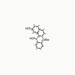 COc1ccccc1C(O)c1cccc2ccc(O)cc12